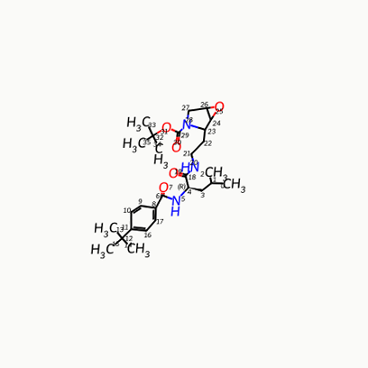 CC(C)C[C@@H](NC(=O)c1ccc(C(C)(C)C)cc1)C(=O)NCCC1C2OC2CN1C(=O)OC(C)(C)C